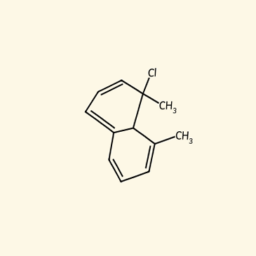 CC1=CC=CC2=CC=CC(C)(Cl)C12